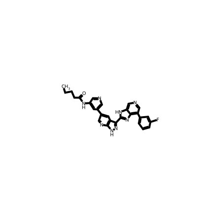 CCCCC(=O)Nc1cncc(-c2cnc3[nH]nc(-c4nc5c(-c6cccc(F)c6)cncc5[nH]4)c3c2)c1